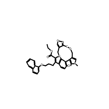 CCOC(=O)c1c(CCCOc2cccc3ccccc23)c2ccc(Cl)c3c2n1Cc1conc1COCc1cn(C)c(C)c1-3